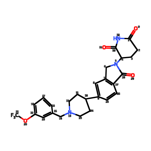 O=C1CCC(N2Cc3cc(C4CCN(Cc5cccc(OC(F)(F)F)c5)CC4)ccc3C2=O)C(=O)N1